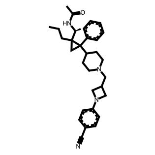 CCCC1([C@H](C)NC(C)=O)CC1(c1ccccc1)C1CCN(CC2CN(c3ccc(C#N)cc3)C2)CC1